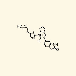 O=C(O)CSc1cnc(NC(=O)N(CC2CCCC2)c2ccc3c(c2)NC(=O)C3)s1